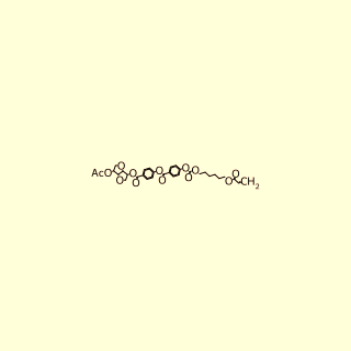 C=CC(=O)OCCCCCCOC(=O)Oc1ccc(C(=O)Oc2ccc(C(=O)O[C@H]3COC4C3OC[C@@H]4OC(C)=O)cc2)cc1